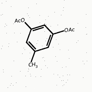 CC(=O)Oc1[c]c(OC(C)=O)cc(C)c1